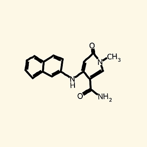 Cn1cc(C(N)=O)c(Nc2ccc3ccccc3c2)cc1=O